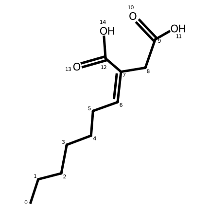 CCCCCCC=C(CC(=O)O)C(=O)O